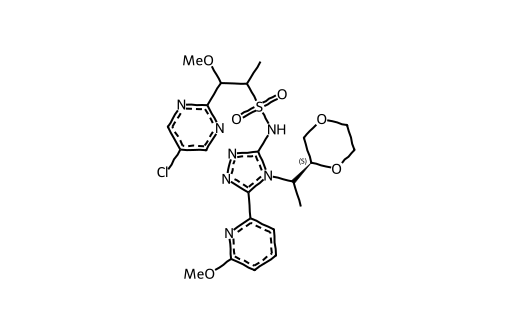 COc1cccc(-c2nnc(NS(=O)(=O)C(C)C(OC)c3ncc(Cl)cn3)n2C(C)[C@H]2COCCO2)n1